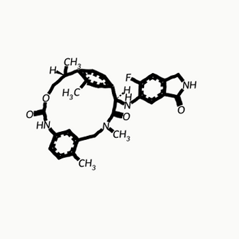 Cc1ccc2cc1CN(C)C(=O)[C@H](Nc1cc3c(cc1F)CNC3=O)c1ccc(c(C)c1)[C@@H](C)COC(=O)N2